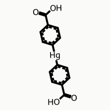 O=C(O)c1cc[c]([Hg][c]2ccc(C(=O)O)cc2)cc1